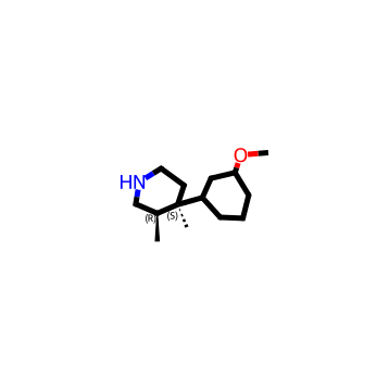 COC1CCCC([C@]2(C)CCNC[C@@H]2C)C1